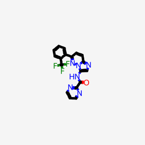 O=C(Nc1cnc2ccc(-c3ccccc3C(F)(F)F)nn12)c1ncccn1